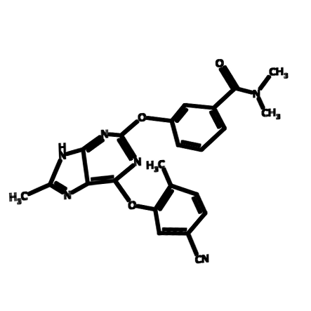 Cc1nc2c(Oc3cc(C#N)ccc3C)nc(Oc3cccc(C(=O)N(C)C)c3)nc2[nH]1